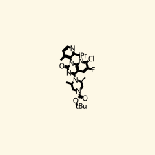 Cc1ccnc(C(C)C)c1-n1c(=O)nc(N2C(C)CN(C(=O)OC(C)(C)C)C[C@@H]2C)c2cc(F)c(Cl)nc21